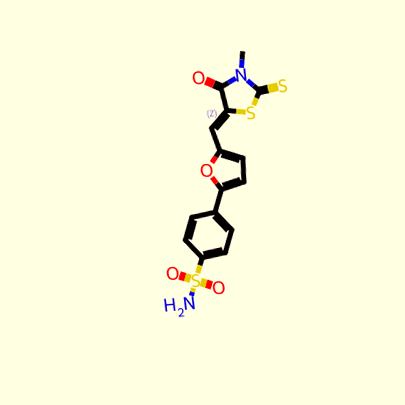 CN1C(=O)/C(=C/c2ccc(-c3ccc(S(N)(=O)=O)cc3)o2)SC1=S